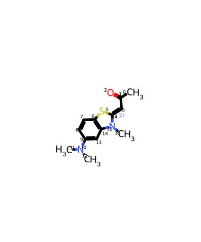 CC(=O)/C=C1\Sc2ccc(N(C)C)cc2N1C